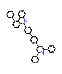 c1ccc(-c2cc(-c3ccc(-c4ccc(-c5nc6ccccc6c6c(-c7ccccc7)cccc56)cc4)cc3)cc(-c3ccccc3)n2)cc1